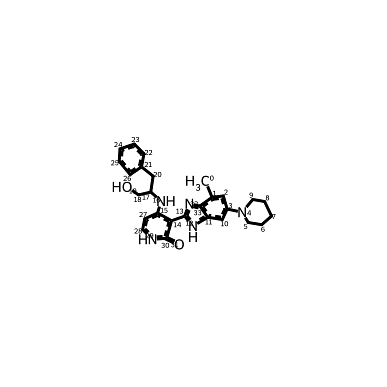 Cc1cc(N2CCCCC2)cc2[nH]c(-c3c(NC(CO)Cc4ccccc4)cc[nH]c3=O)nc12